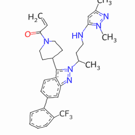 C=CC(=O)N1CCC(c2c3ccc(-c4ccccc4C(F)(F)F)cc3nn2C(C)CCNc2cc(C)nn2C)CC1